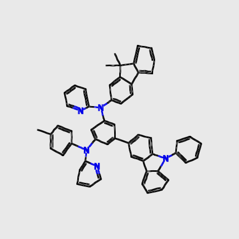 Cc1ccc(N(c2cc(-c3ccc4c(c3)c3ccccc3n4-c3ccccc3)cc(N(c3ccc4c(c3)C(C)(C)c3ccccc3-4)c3ccccn3)c2)c2ccccn2)cc1